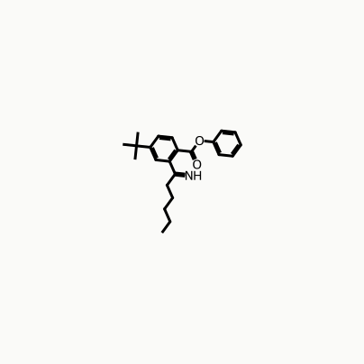 CCCCCC(=N)c1cc(C(C)(C)C)ccc1C(=O)Oc1ccccc1